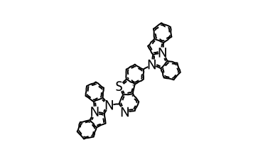 c1ccc2c(c1)cc1n(-c3ccc4sc5c(-n6c7ccccc7n7c8ccccc8cc67)nccc5c4c3)c3ccccc3n21